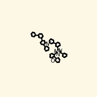 C1=CC2Oc3cccc(-c4nc(-c5ccccc5)nc(-c5cccc(-c6cccc(-n7c8ccccc8c8ccc(-c9cccc(-c%10ccccc%10)c9)cc87)c6)c5)n4)c3C2C=C1